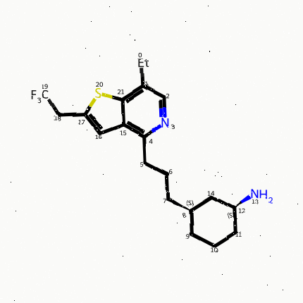 CCc1cnc(CCC[C@@H]2CCC[C@H](N)C2)c2cc(CC(F)(F)F)sc12